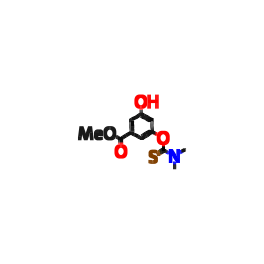 COC(=O)c1cc(O)cc(OC(=S)N(C)C)c1